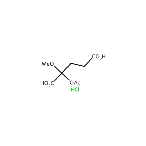 COC(CCC(=O)O)(OC(C)=O)C(=O)O.Cl